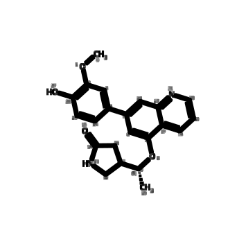 COc1cc(-c2cc(O[C@H](C)C3CNC(=O)C3)c3cccnc3c2)ccc1O